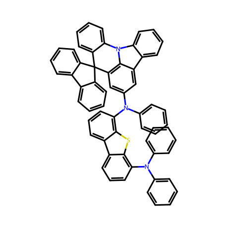 c1ccc(N(c2ccccc2)c2cccc3c2sc2c(N(c4ccccc4)c4cc5c6c(c4)c4ccccc4n6-c4ccccc4C54c5ccccc5-c5ccccc54)cccc23)cc1